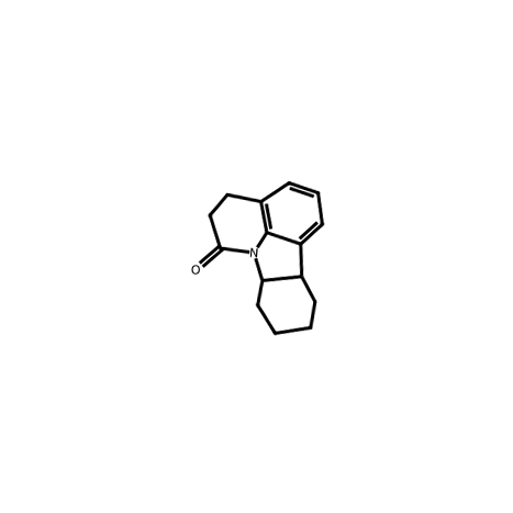 O=C1CCc2cccc3c2N1C1CCCCC31